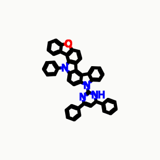 C1=C(c2ccccc2)N=C(n2c3ccccc3c3c4c5ccc6oc7ccccc7c6c5n(-c5ccccc5)c4ccc32)NC1c1ccccc1